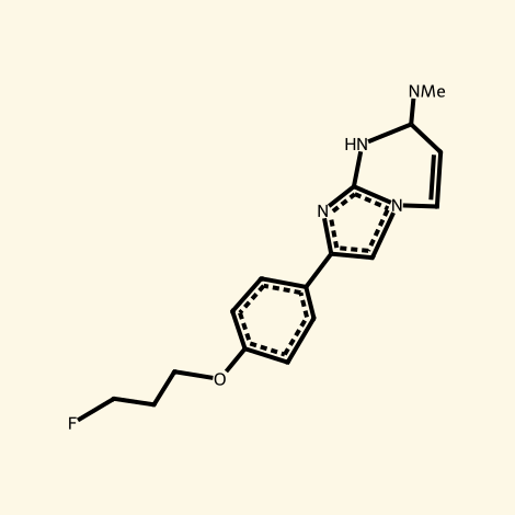 CNC1C=Cn2cc(-c3ccc(OCCCF)cc3)nc2N1